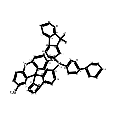 CC(C)(C)c1ccc2c(c1)C1(c3cc(C(C)(C)C)ccc3O2)c2ccccc2-c2ccc(N(c3ccc(-c4ccccc4)cc3)c3ccc4c(c3)C(C)(C)c3ccccc3-4)cc21